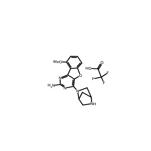 COc1cccc2oc3c(N4CC5CC4CN5)nc(N)nc3c12.O=C(O)C(F)(F)F